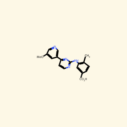 COc1cncc(-c2ccnc(Nc3cc(C(=O)O)ccc3C)n2)c1